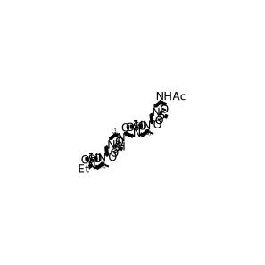 CCN(C[C@H](C)NC(=O)CN(C[C@H](C)NC(=O)CN(C[C@H](C)NC(=O)CN(C[C@H](C)NC(C)=O)S(C)(=O)=O)S(C)(=O)=O)S(C)(=O)=O)S(C)(=O)=O